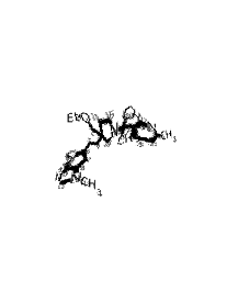 CCOCC1(CCc2cc3c(ncn3C)s2)CCN(C(C)(C)c2ccc(C)nc2)C1